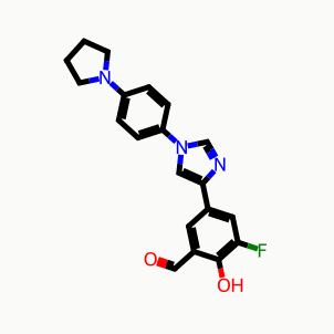 O=Cc1cc(-c2cn(-c3ccc(N4CCCC4)cc3)cn2)cc(F)c1O